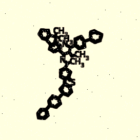 CCC(/C(=N\C(C)c1ccc2c(c1)sc1ccc(-c3ccc(-c4ccccc4)cc3)cc12)c1ccc2c(c1)C(C)(C)c1ccccc1-2)C(N)c1ccc(-c2c#cccc2)cc1